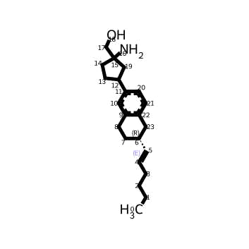 CCCC/C=C/[C@@H]1CCc2cc(C3CCC(N)(CO)C3)ccc2C1